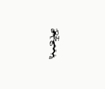 COC(=O)[C@H](C)NC(=O)CCCCCBr